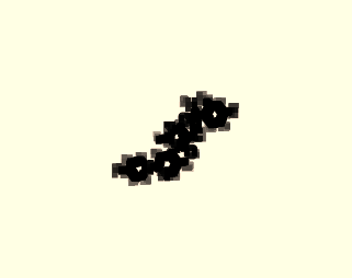 [2H]C([2H])(Oc1nc(C)n(-c2cc(N3C=CC(F)=CC3)ncc2C)c(=O)c1Cl)c1ccc(F)cc1F